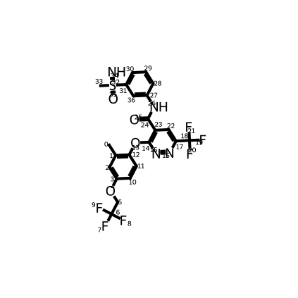 Cc1cc(OCC(F)(F)F)ccc1Oc1nnc(C(F)(F)F)cc1C(=O)Nc1cccc(S(C)(=N)=O)c1